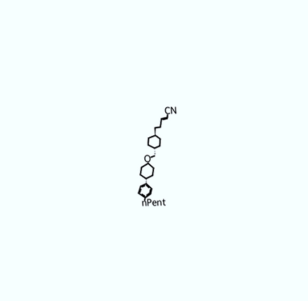 CCCCCc1ccc([C@H]2CC[C@H](OC[C@H]3CC[C@H](CCC=CC#N)CC3)CC2)cc1